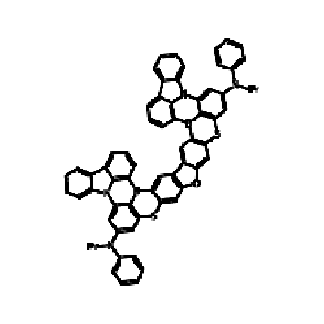 CC(C)N(c1ccccc1)c1cc2c3c(c1)-n1c4ccccc4c4cccc(c41)B3c1cc3c(cc1S2)oc1cc2c(cc13)B1c3c(cc(N(c4ccccc4)C(C)C)cc3-n3c4ccccc4c4cccc1c43)S2